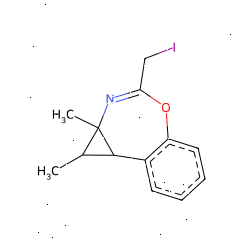 CC1C2c3ccccc3OC(CI)=NC12C